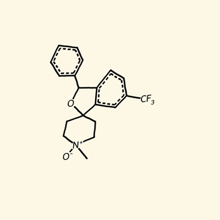 C[N+]1([O-])CCC2(CC1)OC(c1ccccc1)c1ccc(C(F)(F)F)cc12